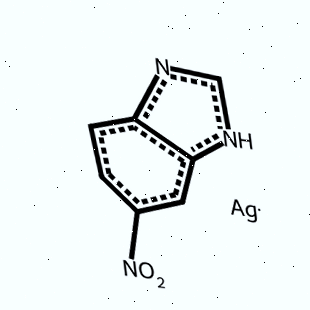 O=[N+]([O-])c1ccc2nc[nH]c2c1.[Ag]